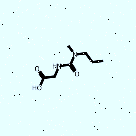 CCCN(C)C(=O)NCC(=O)O